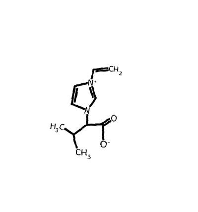 C=C[n+]1ccn(C(C(=O)[O-])C(C)C)c1